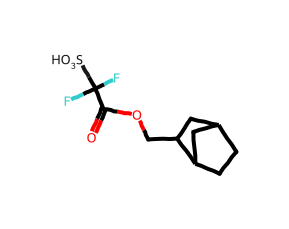 O=C(OCC1CC2CCC1C2)C(F)(F)S(=O)(=O)O